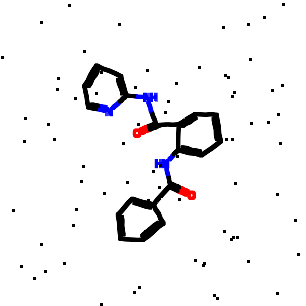 O=C(Nc1ccccc1C(=O)Nc1ccccn1)c1ccccc1